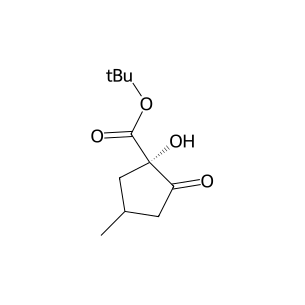 CC1CC(=O)[C@](O)(C(=O)OC(C)(C)C)C1